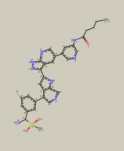 CCCCC(=O)Nc1cncc(-c2cnc3[nH]nc(-c4cc5c(-c6cc(F)cc(C(N)S(C)(=O)=O)c6)cncc5[nH]4)c3c2)c1